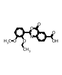 CCOc1c(OC)cccc1-c1nc2ccc(C(=O)O)cc2c(=O)o1